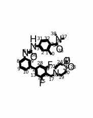 Cc1cc(Nc2nc3cccc(-c4cc(F)c(CN5CCS(=O)(=O)CC5)c(F)c4)c3o2)ccc1C(=O)N(C)C